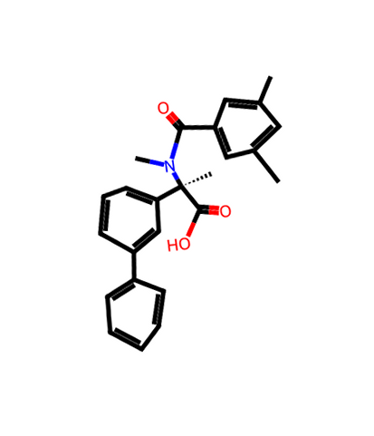 Cc1cc(C)cc(C(=O)N(C)[C@@](C)(C(=O)O)c2cccc(-c3ccccc3)c2)c1